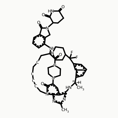 Cc1nc2c3cc(N4CCN(C(=O)CNc5cccc6c5CN(C5CCC(=O)NC5=O)C6=O)CC4)c(=O)n(c3n1)CCCCCCCN1CCC(CC1)C(F)(F)c1cccc(c1F)[C@@H](C)N2